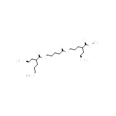 C=CCC(CCCO)C(=O)OCCCCC(=O)OCCCC(CC=C)C(=O)OC(C)C